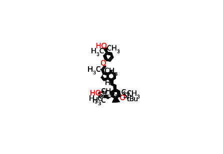 C[C@@H](COc1cccc(C(C)(C)O)c1)[C@H]1CC[C@H]2/C(=C/C=C3\C[C@@H](CC(C)(C)[Si](C)(C)O)C4(CC4)[C@H](O[Si](C)(C)C(C)(C)C)C3)CCC[C@]12C